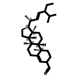 CCC(C=C[C@@H](C)[C@H]1CC[C@H]2[C@@H]3CCC4=CC(C=O)CC[C@]4(C)[C@H]3CC[C@]12C)C(C)C